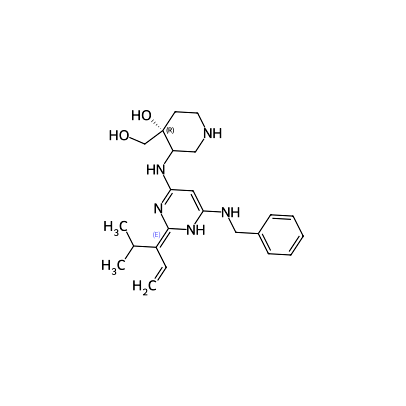 C=C/C(=C1/N=C(NC2CNCC[C@]2(O)CO)C=C(NCc2ccccc2)N1)C(C)C